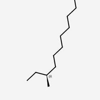 [CH2]CCCCCCC[C@@H](C)CC